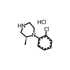 C[C@H]1CNCCN1c1ccccc1Cl.Cl